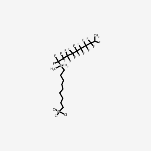 CC(F)C(F)(F)C(F)(F)C(F)(F)C(F)(F)C(F)(F)C(F)(F)C(F)(F)C(F)(F)[Si](C)(C)CCCCCCCCC[Si](Cl)(Cl)Cl